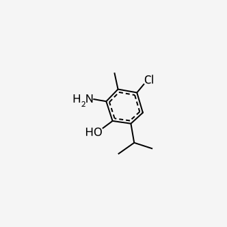 Cc1c(Cl)cc(C(C)C)c(O)c1N